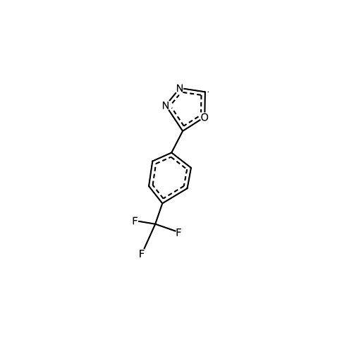 FC(F)(F)c1ccc(-c2nn[c]o2)cc1